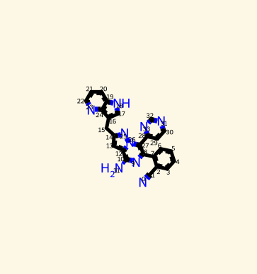 N#Cc1ccccc1-c1nc(N)c2cc(Cc3c[nH]c4cccnc34)nn2c1-c1ccncn1